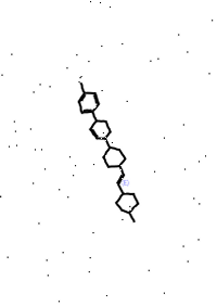 Cc1ccc(C2C=CC(C3CCC(/C=C/C4CCC(C)CC4)CC3)CC2)cc1